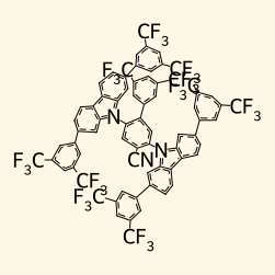 N#Cc1cc(-n2c3cc(-c4cc(C(F)(F)F)cc(C(F)(F)F)c4)ccc3c3ccc(-c4cc(C(F)(F)F)cc(C(F)(F)F)c4)cc32)c(-c2cc(C(F)(F)F)cc(C(F)(F)F)c2)cc1-n1c2cc(-c3cc(C(F)(F)F)cc(C(F)(F)F)c3)ccc2c2ccc(-c3cc(C(F)(F)F)cc(C(F)(F)F)c3)cc21